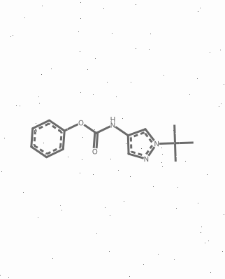 CC(C)(C)n1cc(NC(=O)Oc2ccccc2)cn1